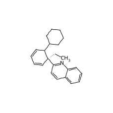 CC[C@]1(c2ccc3ccccc3n2)C=CC=CC1C1CCCCC1